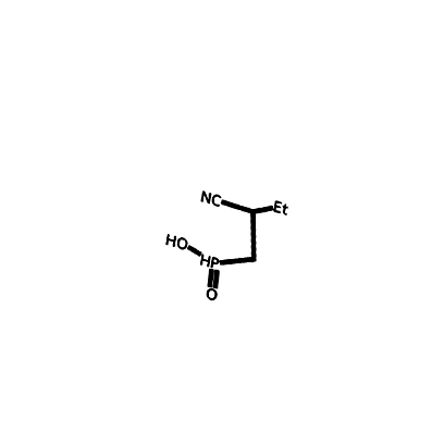 CCC(C#N)C[PH](=O)O